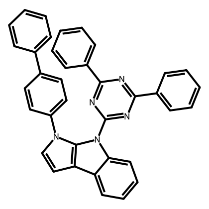 c1ccc(-c2ccc(-n3ccc4c5ccccc5n(-c5nc(-c6ccccc6)nc(-c6ccccc6)n5)c43)cc2)cc1